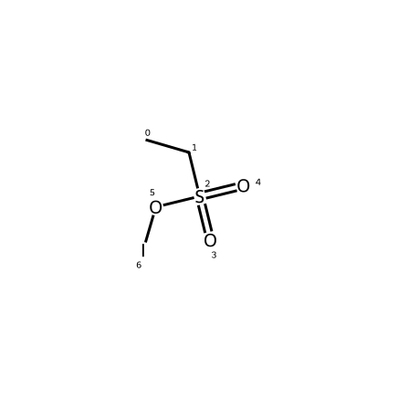 CCS(=O)(=O)OI